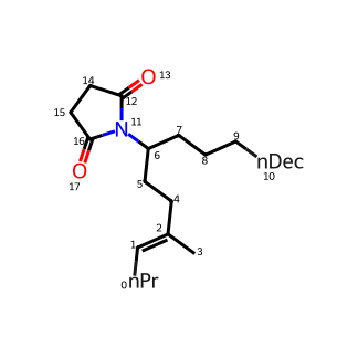 CCCC=C(C)CCC(CCCCCCCCCCCCC)N1C(=O)CCC1=O